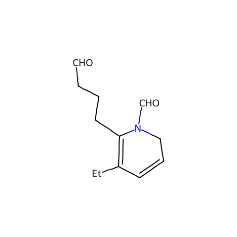 CCC1=C(CCCC=O)N(C=O)CC=C1